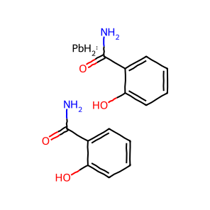 NC(=O)c1ccccc1O.NC(=O)c1ccccc1O.[PbH2]